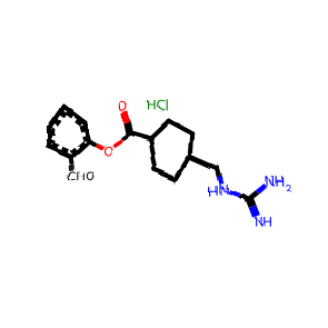 Cl.N=C(N)NCC1CCC(C(=O)Oc2ccccc2C=O)CC1